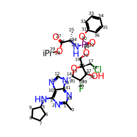 Cc1nc(NC2CCCC2)c2ncn([C@@H]3O[C@](CCl)(CO[P@](=O)(N[C@@H](C)C(=O)OC(C)C)Oc4ccccc4)[C@@H](O)[C@@H]3F)c2n1